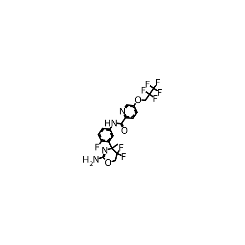 CC1(c2cc(NC(=O)c3ccc(OCC(F)(F)C(F)(F)F)cn3)ccc2F)N=C(N)OCC1(F)F